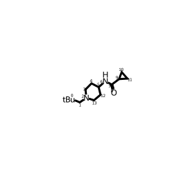 CC(C)(C)CN1CCC(NC(=O)C2CC2)CC1